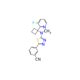 CN(c1nnc(-c2cccc(C#N)c2)s1)C1(c2ncccc2F)CCC1